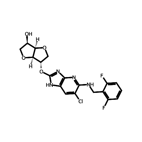 O[C@@H]1CO[C@H]2[C@@H]1OC[C@@H]2Oc1nc2nc(NCc3c(F)cccc3F)c(Cl)cc2[nH]1